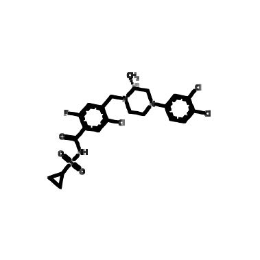 C[C@@H]1CN(c2ccc(Cl)c(Cl)c2)CCN1Cc1cc(F)c(C(=O)NS(=O)(=O)C2CC2)cc1Cl